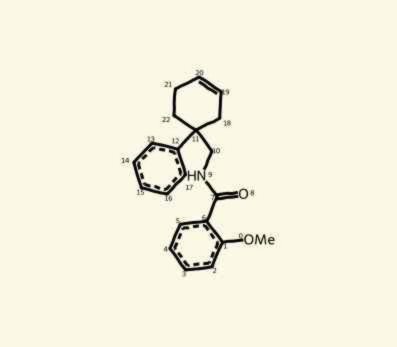 COc1ccccc1C(=O)NCC1(c2ccccc2)CC=CCC1